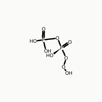 O=P(O)(O)O[P@@](=O)(O)OOO